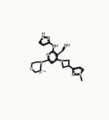 C[C@@H]1COCCN1c1cc(N2CC(c3ccn(C)n3)C2)c(C=N)c(Nc2cc[nH]n2)n1